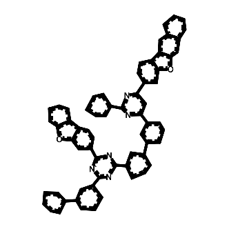 c1ccc(-c2cccc(-c3nc(-c4cccc(-c5cccc(-c6cc(-c7ccc8c(c7)oc7cc9ccccc9cc78)nc(-c7ccccc7)n6)c5)c4)nc(-c4ccc5c(c4)oc4ccccc45)n3)c2)cc1